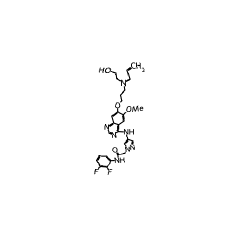 C=CCN(CCO)CCCOc1cc2ncnc(Nc3cnn(CC(=O)Nc4cccc(F)c4F)c3)c2cc1OC